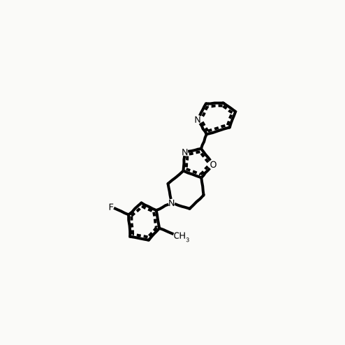 Cc1ccc(F)cc1N1CCc2oc(-c3ccccn3)nc2C1